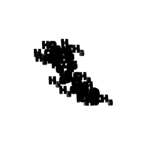 COc1cc(CCN(C)C(=O)CCOCCC(=O)N[C@H](C(=O)N2C[C@H](O)C[C@H]2C(=O)N[C@@H](C)c2ccc(-c3scnc3C)cc2)C(C)(C)C)c(C)cc1Nc1ncc(Cl)c(Nc2ccccc2P(C)(C)=O)n1